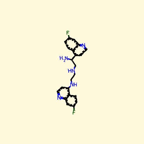 NC(CNCCNc1ccnc2cc(F)ccc12)c1ccnc2cc(F)ccc12